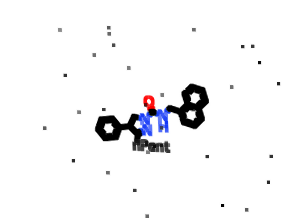 CCCCCC1=NN(C(=O)NCc2cccc3ccccc23)CC1c1ccccc1